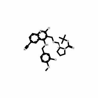 COc1ccc(CNc2c(COC[C@@H]3CCCN3C(=O)OC(C)(C)C)c(Cl)nc3ccc(C#N)cc23)cc1Cl